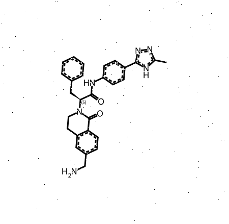 Cc1nnc(-c2ccc(NC(=O)[C@H](Cc3ccccc3)N3CCc4cc(CN)ccc4C3=O)cc2)[nH]1